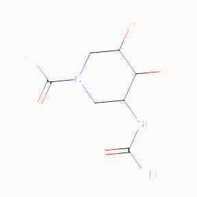 CC(=O)NC1CN(C(=O)O)CC(O)C1O